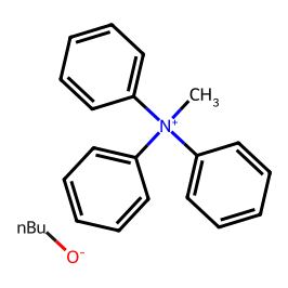 CCCC[O-].C[N+](c1ccccc1)(c1ccccc1)c1ccccc1